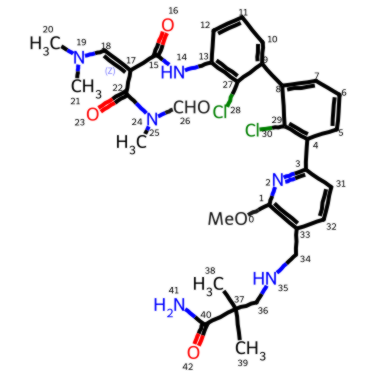 COc1nc(-c2cccc(-c3cccc(NC(=O)/C(=C/N(C)C)C(=O)N(C)C=O)c3Cl)c2Cl)ccc1CNCC(C)(C)C(N)=O